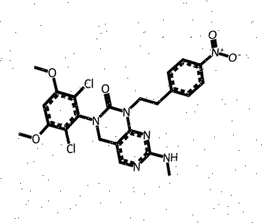 CNc1ncc2c(n1)N(CCc1ccc([N+](=O)[O-])cc1)C(=O)N(c1c(Cl)c(OC)cc(OC)c1Cl)C2